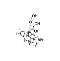 CCCSc1nc(N(C(=O)O)[C@@H]2C[C@H]2c2ccc(F)c(F)c2)c2nnn([C@@H]3C[C@H](OCCO)[C@@H](O)[C@H]3O)c2n1